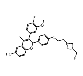 COc1cc(C2=C(C)c3cc(O)ccc3OC2c2ccc(OCCN3CC(CF)C3)cc2)ccc1F